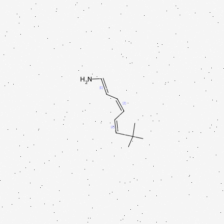 CC(C)(C)\C=C/C=C\C=C\N